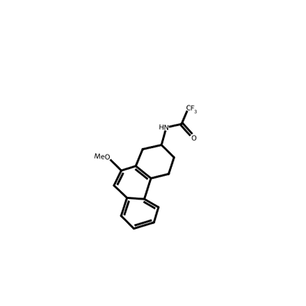 COc1cc2ccccc2c2c1CC(NC(=O)C(F)(F)F)CC2